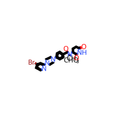 CN(C(=O)c1ccc(N2CCN(c3cc(Br)ccn3)CC2)cc1C=O)C1CCC(=O)NC1=O